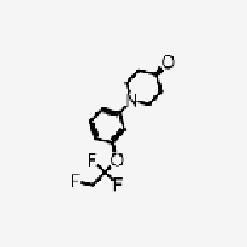 O=C1CCN(c2cccc(OC(F)(F)CF)c2)CC1